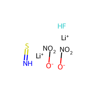 F.N=S.O=[N+]([O-])[O-].O=[N+]([O-])[O-].[Li+].[Li+]